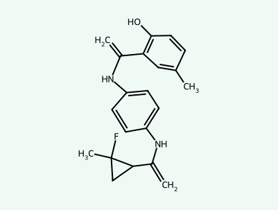 C=C(Nc1ccc(NC(=C)C2CC2(C)F)cc1)c1cc(C)ccc1O